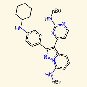 CCCCNc1nccc(-c2c(-c3ccc(NC4CCCCC4)cc3)nn3c(NCCCC)cccc23)n1